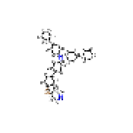 c1ccc(-c2ccc(N(c3ccc(-c4ccccc4)cc3)c3ccc(-c4ccc5sc6ccncc6c5c4)cc3)cc2)cc1